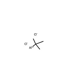 C[C](C)(C)[Al+2].[Cl-].[Cl-]